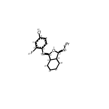 CC(C)N=C1OC(=Nc2ccc(Cl)cc2F)C2CCCCC12